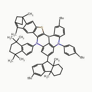 CC1=C2CC(C)(C2)c2cc3sc4c(c3cc21)N(c1ccc2c(c1)C(C)(C)CCC2(C)C)c1cc(C2c3ccc(C(C)(C)C)cc3C3(C)CCCCC23C)cc2c1B4c1cc(C(C)(C)C)ccc1N2c1ccc(C(C)(C)C)cc1